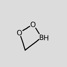 B1COO1